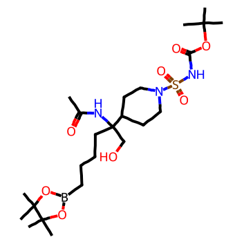 CC(=O)NC(CO)(CCCCB1OC(C)(C)C(C)(C)O1)C1CCN(S(=O)(=O)NC(=O)OC(C)(C)C)CC1